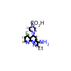 CCc1nn2c(cc(N3CCN(C(=O)O)CC3)c3c(F)ccnc32)c1N